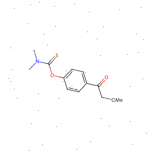 COCC(=O)c1ccc(OC(=S)N(C)C)cc1